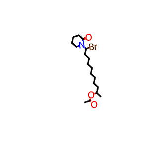 CC(=O)OC(C)CCCCCCCCC(Br)N1CCCCC1=O